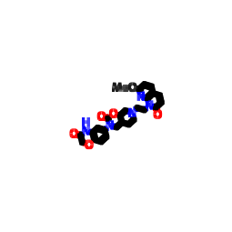 COc1ccc2ccc(=O)n(CCN3CCC4CN(c5ccc6c(c5)NC(=O)CO6)C(=O)OC4C3)c2n1